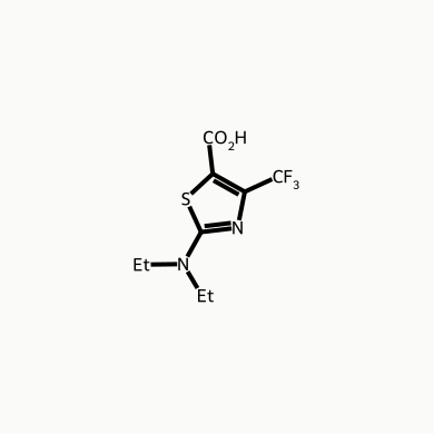 CCN(CC)c1nc(C(F)(F)F)c(C(=O)O)s1